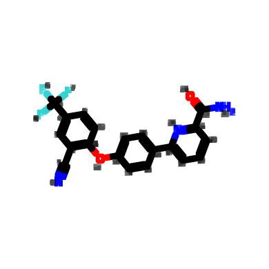 N#Cc1cc(C(F)(F)F)ccc1Oc1ccc(-c2cccc(C(N)=O)n2)cc1